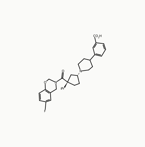 CC(C)[C@]1(C(=O)N2COc3ccc(F)cc3C2)CC[C@@H](N2CCC(c3cccc(C(=O)O)c3)CC2)C1